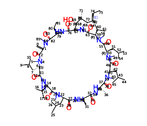 C=C1C(=O)N(C)[C@@H](CC(C)C)C(=O)N[C@H](C(C)C)C(=O)N(C)C(CC(C)C)C(=O)N[C@H](C)C(=O)N[C@@H](C)C(=O)N(C)[C@H](CC(C)C)C(=O)N(C)[C@H](CC(C)C)C(=O)N(C)[C@H](C(C)C)C(=O)N(C)[C@H]([C@H](O)[C@H](C)C/C=C/C)C(=O)N[C@H](CC)C(=O)N1C